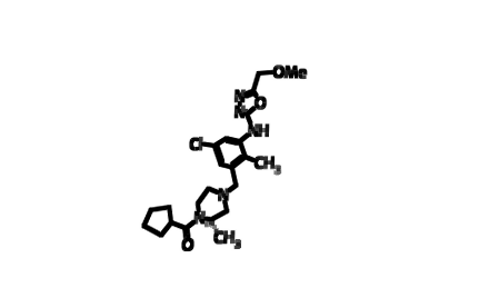 COCc1nnc(Nc2cc(Cl)cc(CN3CCN(C(=O)C4CCCC4)[C@@H](C)C3)c2C)o1